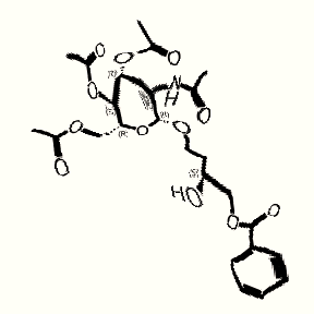 CC(=O)N[C@H]1[C@H](OCC[C@H](O)COC(=O)c2ccccc2)O[C@H](COC(C)=O)[C@@H](OC(C)=O)[C@@H]1OC(C)=O